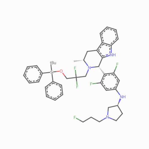 C[C@@H]1Cc2c([nH]c3ccccc23)[C@H](c2c(F)cc(N[C@H]3CCN(CCCF)C3)cc2F)N1CC(F)(F)CO[Si](c1ccccc1)(c1ccccc1)C(C)(C)C